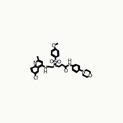 COc1ccc(S(=O)(=O)N(CCNc2cc(C)nc3ccc(Cl)cc23)CCC(=O)Nc2ccc(N3CCOCC3)cc2)cc1